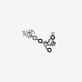 CC(C)(C)OC(=O)N1CCN(c2ccc(NC[C@H](Cc3ccccc3)NC(=O)/C=C/c3cc(Cl)ccc3-n3cnnn3)cc2)CC1